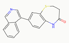 O=C1CCSc2cc(-c3cncc4ccccc34)ccc2N1